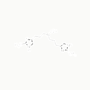 CCCCN(CCCc1c[nH]c(C)n1)CCCc1c[nH]c(C)n1